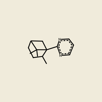 CC1CCC2CC1(c1ncccn1)C2(C)C